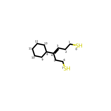 SCCC=C(CCS)C1CCCCC1